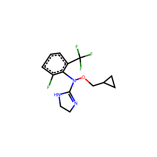 Fc1cccc(C(F)(F)F)c1N(OCC1CC1)C1=NCCN1